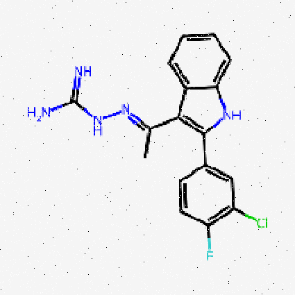 CC(=NNC(=N)N)c1c(-c2ccc(F)c(Cl)c2)[nH]c2ccccc12